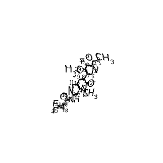 CCC(=O)c1ncc(-c2cc3cnc(NC(=O)[C@H]4CC4(F)F)cc3n(C)c2=O)c(C)c1F